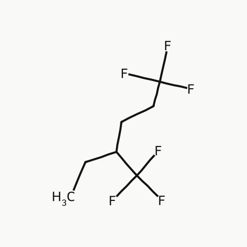 CCC(CCC(F)(F)F)C(F)(F)F